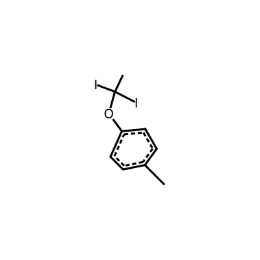 Cc1ccc(OC(C)(I)I)cc1